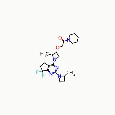 CC1CCN1c1nc(N2C[C@@H](OCC(=O)N3CCCCC3)[C@@H]2C)c2c(n1)C(F)(F)CC2